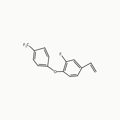 C=Cc1ccc(Oc2ccc(C(F)(F)F)cc2)c(F)c1